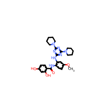 COc1ccc(NC(=O)c2ccc(O)cc2O)c(Nc2nc(N3CCCCC3)nc(N3CCCCC3)n2)c1